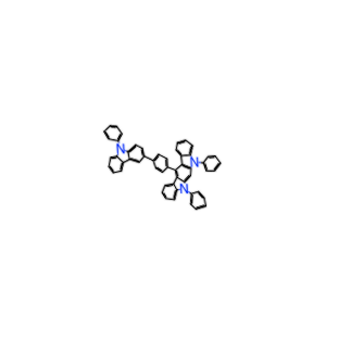 c1ccc(-n2c3ccccc3c3cc(-c4ccc(-c5c6c7ccccc7n(-c7ccccc7)c6cc6c5c5ccccc5n6-c5ccccc5)cc4)ccc32)cc1